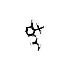 COC(=O)Oc1cccc(F)c1C(F)(F)F